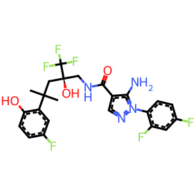 CC(C)(C[C@@](O)(CNC(=O)c1cnn(-c2ccc(F)cc2F)c1N)C(F)(F)F)c1cc(F)ccc1O